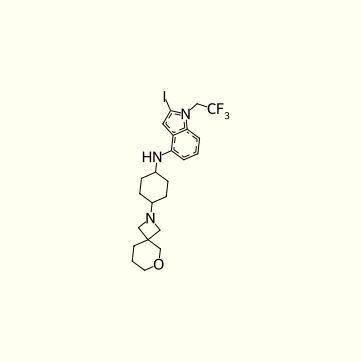 FC(F)(F)Cn1c(I)cc2c(NC3CCC(N4CC5(CCCOC5)C4)CC3)cccc21